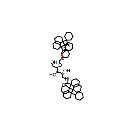 O=C(NCCOCOC(CO)[C@H](O)[C@H](O)CNC(=O)C1(C2(C3(C4(C5CCCCC5)CCCCC4)CCCCC3)CCCCC2)CCCCC1)C1(C2(C3(C4(C5CCCCC5)CCCCC4)CCCCC3)CCCCC2)CCCCC1